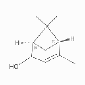 CC1=CC(O)[C@@H]2C[C@@H]1C2(C)C